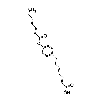 CC/C=C/C=C/C(=O)Oc1ccc(CC/C=C/C=C/C(=O)O)cc1